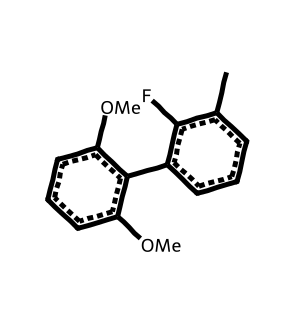 COc1cccc(OC)c1-c1cccc(C)c1F